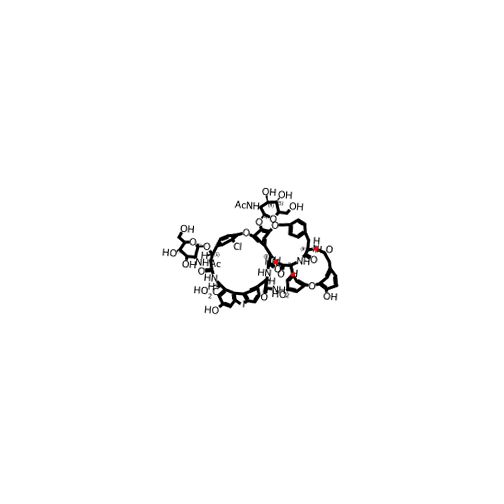 CC(=O)NC1C(O)[C@H](O)C(CO)O[C@H]1O[C@H]1CC(=O)N[C@H](C(=O)O)c2cc(O)cc(C)c2-c2cc(ccc2I)[C@H](C(N)=O)NC(=O)[C@@H]2NC(=O)[C@H]3NC(=O)[C@@H](Cc4ccc(cc4)Oc4cc2cc(c4O[C@@H]2OC(CO)[C@@H](O)[C@H](O)C2NC(C)=O)Oc2ccc1cc2Cl)NC(=O)Cc1ccc(O)c(c1)Oc1cc(O)cc3c1